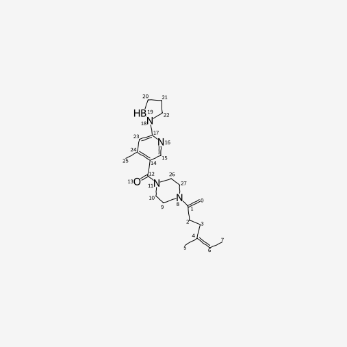 C=C(CC/C(C)=C\C)N1CCN(C(=O)c2cnc(N3BCCC3)cc2C)CC1